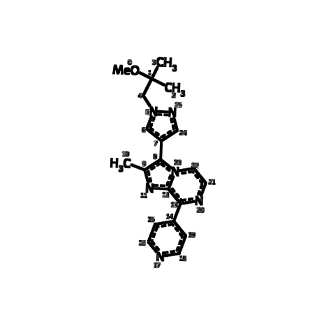 COC(C)(C)Cn1cc(-c2c(C)nc3c(-c4ccncc4)nccn23)cn1